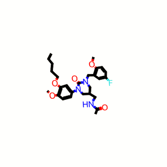 CCCCCOc1cc(N2CC(CNC(C)=O)CN(Cc3cc(F)ccc3OC)C2=O)ccc1OC